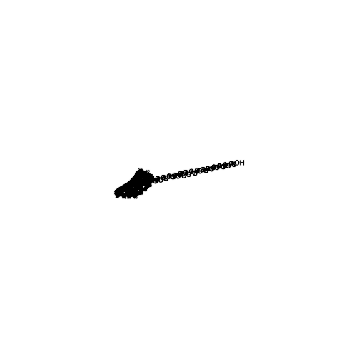 OOOOOOOOOOOOOOOOOOOOOOOOOOOOOOC1c2cc3c4c2c2c5c6c7c(cc8c7c7c9c(cc%10c%11c%12c(cc(c%13c4c4c2c6c7c(c%119)c4c%12%13)C3)C%10)C8)=CC51